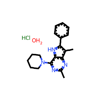 Cc1nc(N2CCCCC2)c2[nH]c(-c3ccccc3)c(C)c2n1.Cl.O